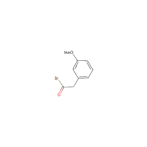 COc1cccc(CC(=O)Br)c1